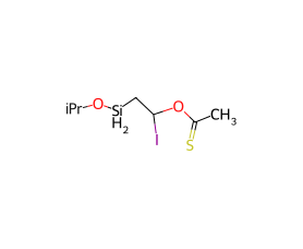 CC(=S)OC(I)C[SiH2]OC(C)C